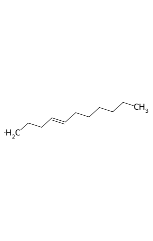 [CH2]CCC=CCCCCCC